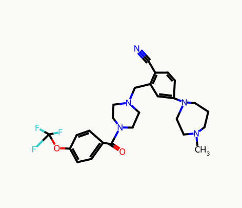 CN1CCCN(c2ccc(C#N)c(CN3CCN(C(=O)c4ccc(OC(F)(F)F)cc4)CC3)c2)CC1